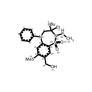 CCCCC1(CC)CN(c2ccccc2)c2cc(SC)c(CO)cc2S(=O)(=O)N1PC